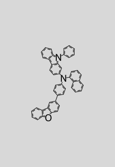 c1ccc(-n2c3ccccc3c3ccc(N(c4ccc(-c5ccc6oc7ccccc7c6c5)cc4)c4cccc5ccccc45)cc32)cc1